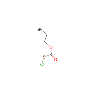 CCCCCOC(=O)SCl